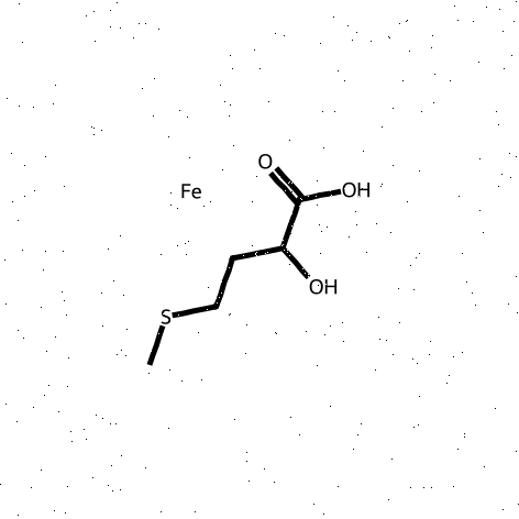 CSCCC(O)C(=O)O.[Fe]